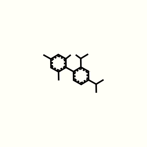 Cc1cc(C)c(-c2ccc(C(C)C)[c]c2C(C)C)c(C)c1